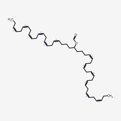 CC/C=C\C/C=C\C/C=C\C/C=C\C/C=C\C/C=C\CCCC(CCC/C=C\C/C=C\C/C=C\C/C=C\C/C=C\C/C=C\CC)OC=O